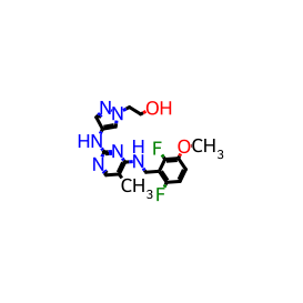 COc1ccc(F)c(CNc2nc(Nc3cnn(CCO)c3)ncc2C)c1F